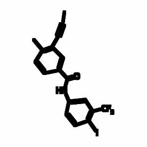 CC#Cc1cc(C(=O)Nc2ccc(I)c(C(F)(F)F)c2)ccc1C